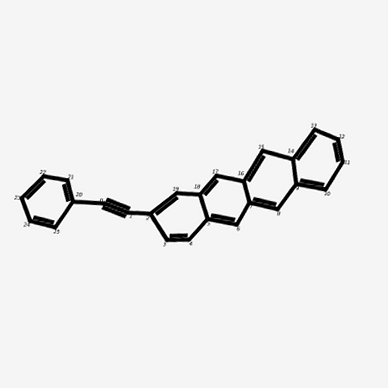 C(#Cc1ccc2cc3cc4ccccc4cc3cc2c1)c1ccccc1